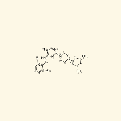 C[C@@H]1C[C@H](C)CN(C2CCN(c3ncc(I)c(NCc4c(F)cccc4F)n3)CC2)C1